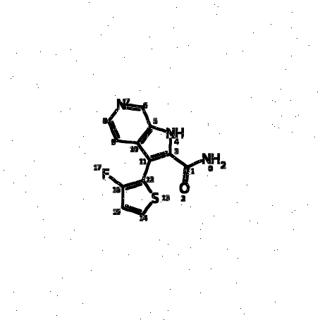 NC(=O)c1[nH]c2cnccc2c1-c1sccc1F